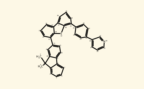 CC1(C)c2ccccc2-c2ccc(-c3cccc4c3sc3c(-c5ccc(-c6cccnc6)cc5)cccc34)cc21